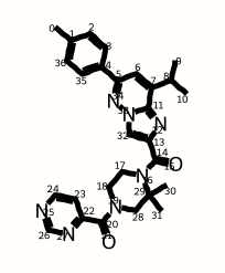 Cc1ccc(-c2cc(C(C)C)c3nc(C(=O)N4CCN(C(=O)c5ccncn5)CC4(C)C)cn3n2)cc1